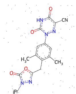 Cc1cc(-n2nc(C#N)c(=O)[nH]c2=O)cc(C)c1Cc1nn(C(C)C)c(=O)o1